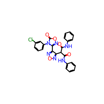 O=C(Nc1ccccc1)C(C(=O)Nc1ccccc1)c1nonc1-c1noc(=O)n1-c1cccc(Cl)c1